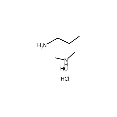 CCCN.CNC.Cl.Cl